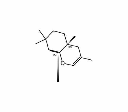 CC1=COC23C[C@@H](C)CCC2C(C)(C)CC[C@]3(C)C1